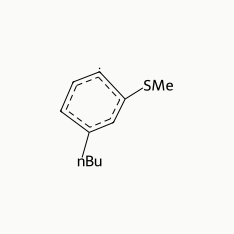 CCCCc1cc[c]c(SC)c1